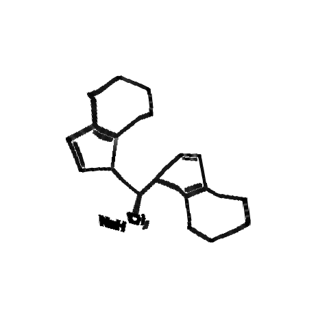 CC(C1C=CC2=C1CCCC2)C1C=CC2=C1CCCC2.[NaH]